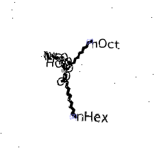 CCCCCC/C=C\CCCCCCCCCC(=O)OC[C@H](COP(=O)(O)OCC[N+](C)(C)C)OC(=O)CCCCCCC/C=C\CCCCCCCC